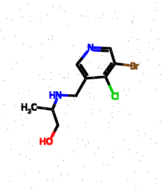 CC(CO)NCc1cncc(Br)c1Cl